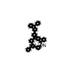 CC1(C)c2ccccc2-c2cc3c4cc(-c5ccc6c(c5)-c5ccccc5C6c5ccccc5)ccc4n(-c4cccc(-c5nc(-c6ccccc6)cc(-c6cccc(C#N)c6)n5)c4)c3cc21